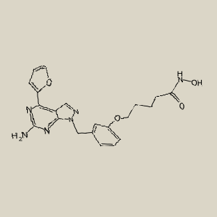 Nc1nc(-c2ccco2)c2cnn(Cc3cccc(OCCCCC(=O)NO)c3)c2n1